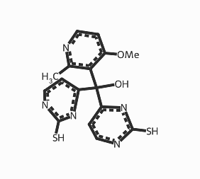 COc1ccnc(C)c1C(O)(c1ccnc(S)n1)c1ccnc(S)n1